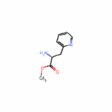 COC(=O)[C@@H](N)Cc1ccccn1